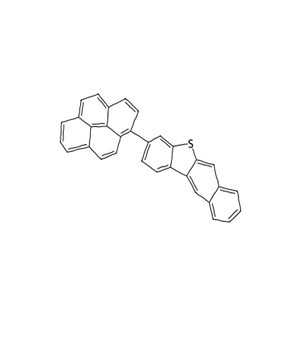 c1ccc2cc3c(cc2c1)sc1cc(-c2ccc4ccc5cccc6ccc2c4c56)ccc13